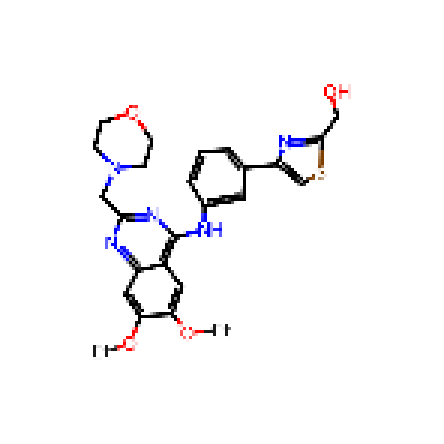 CCOc1cc2nc(CN3CCOCC3)nc(Nc3cccc(-c4csc(CO)n4)c3)c2cc1OCC